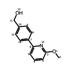 COc1cccc(-c2ccc(CO)cc2)n1